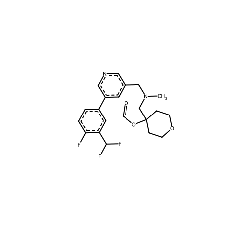 CN(Cc1cncc(-c2ccc(F)c(C(F)F)c2)c1)CC1(OC=O)CCOCC1